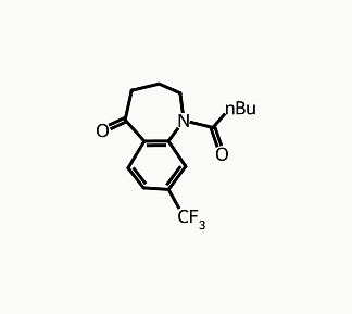 CCCCC(=O)N1CCCC(=O)c2ccc(C(F)(F)F)cc21